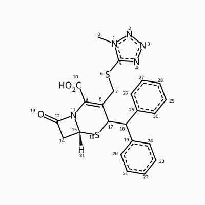 Cn1nnnc1SCC1=C(C(=O)O)N2C(=O)C[C@H]2SC1C(c1ccccc1)c1ccccc1